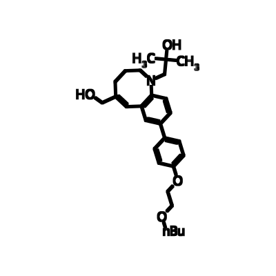 CCCCOCCOc1ccc(-c2ccc3c(c2)/C=C(/CO)CCCN3CC(C)(C)O)cc1